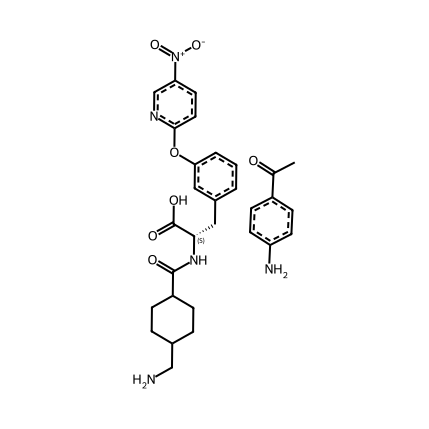 CC(=O)c1ccc(N)cc1.NCC1CCC(C(=O)N[C@@H](Cc2cccc(Oc3ccc([N+](=O)[O-])cn3)c2)C(=O)O)CC1